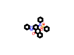 O=C1c2ccccc2C(=O)c2c(N(c3ccccc3)S(=O)(=O)c3ccccc3)ccc(Nc3ccccc3)c21